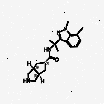 Cc1cccc2c(C(C)(C)NC(=O)[C@@H]3C[C@H]4CNC[C@H]4C3)nn(C)c12